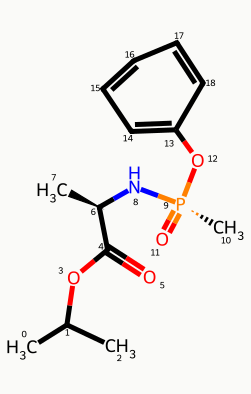 CC(C)OC(=O)[C@@H](C)N[P@](C)(=O)Oc1ccccc1